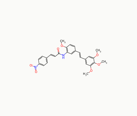 COc1ccc(/C=C/c2cc(OC)c(OC)c(OC)c2)cc1NC(=O)/C=C/c1ccc([N+](=O)[O-])cc1